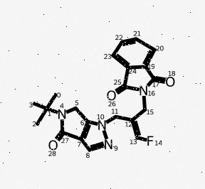 CC(C)(C)N1Cc2c(cnn2C/C(=C/F)CN2C(=O)c3ccccc3C2=O)C1=O